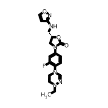 CCN1CCN(c2ccc(N3C[C@H](CNc4ccon4)OC3=O)cc2F)C=N1